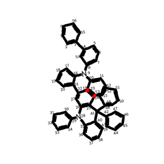 c1ccc(-c2cccc(N(c3ccccc3)c3ccccc3-c3ccc4c(c3)N(c3ccccc3)c3ccccc3C4(c3ccccc3)c3ccccc3)c2)cc1